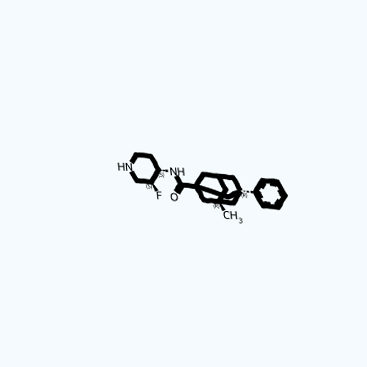 C[C@]12CC3CC(C(=O)N[C@H]4CCNC[C@@H]4F)(C1)C[C@@](c1ccccc1)(C3)C2